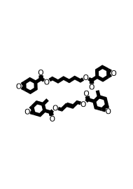 CC1CC2OC2CC1C(=O)OCC=CCOC(=O)C1CC2OC2CC1C.O=C(OCCCCCCOC(=O)C1CCC2OC2C1)C1CCC2OC2C1